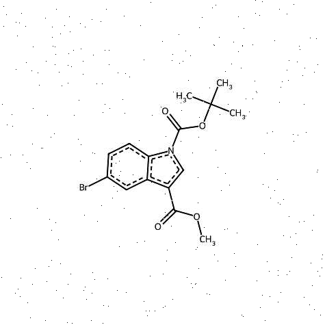 COC(=O)c1cn(C(=O)OC(C)(C)C)c2ccc(Br)cc12